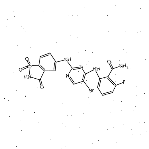 NC(=O)c1c(F)cccc1Nc1nc(Nc2ccc3c(c2)C(=O)NS3(=O)=O)ncc1Br